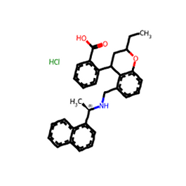 CCC1CC(c2ccccc2C(=O)O)c2c(CN[C@H](C)c3cccc4ccccc34)cccc2O1.Cl